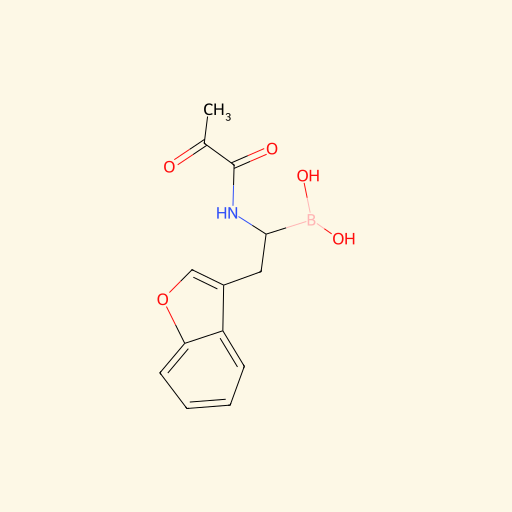 CC(=O)C(=O)NC(Cc1coc2ccccc12)B(O)O